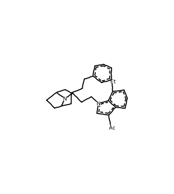 CCc1cccc2c(C(C)=O)cn(CCCN3C4CCC3CC(CCc3ccccc3)C4)c12